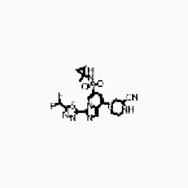 CC1(NS(=O)(=O)c2cc(N3CCNC(C#N)C3)c3cnc(-c4nnc(C(F)F)s4)n3c2)CC1